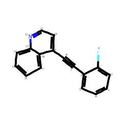 Fc1ccccc1C#Cc1ccnc2ccccc12